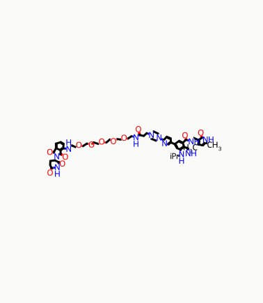 Cc1cc(C)c(CNC(=O)c2cc(-c3ccc(N4CCN(CCC(=O)NCCOCCOCCOCCOCCOCCNc5cccc6c5C(=O)N(C5CCC(=O)NC5=O)C6=O)CC4)nc3)cc(NC(C)C)c2C=N)c(=O)[nH]1